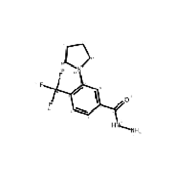 NNC(=O)c1ccc(C(F)(F)F)c(N2CCCC2)c1